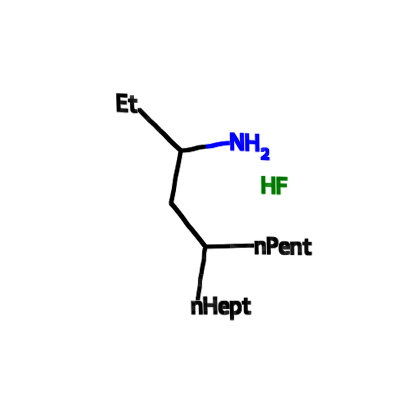 CCCCCCCC(CCCCC)CC(N)CC.F